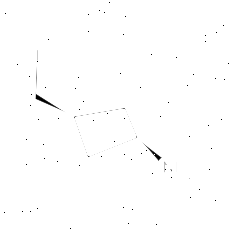 N[C@H]1C[C@@H](CI)C1